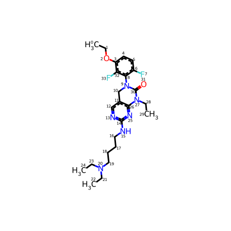 CCOc1ccc(F)c(N2Cc3cnc(NCCCCN(CC)CC)nc3N(CC)C2=O)c1F